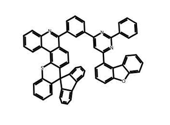 c1ccc(-c2nc(-c3cccc(-c4nc5ccccc5c5c6c(ccc45)C4(c5ccccc5S6)c5ccccc5-c5ccccc54)c3)cc(-c3cccc4oc5ccccc5c34)n2)cc1